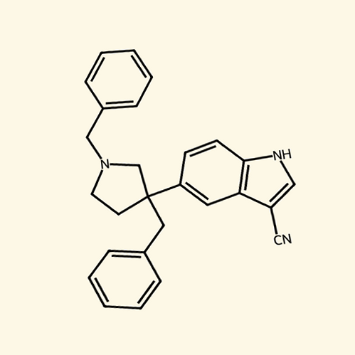 N#Cc1c[nH]c2ccc(C3(Cc4ccccc4)CCN(Cc4ccccc4)C3)cc12